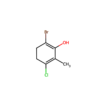 CC1=C(Cl)CCC(Br)=C1O